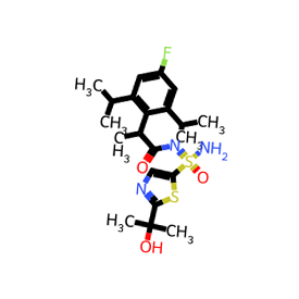 CC(C)c1cc(F)cc(C(C)C)c1C(C)C(=O)N=S(N)(=O)c1cnc(C(C)(C)O)s1